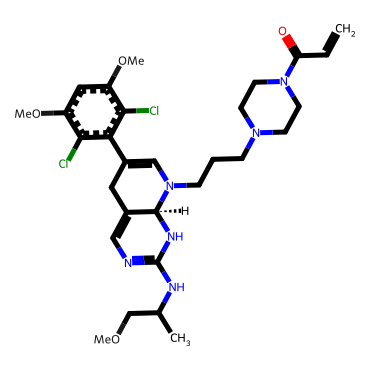 C=CC(=O)N1CCN(CCCN2C=C(c3c(Cl)c(OC)cc(OC)c3Cl)CC3=CN=C(NC(C)COC)N[C@@H]32)CC1